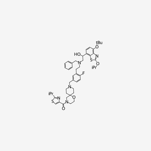 CC(C)Oc1nc2c(OC(C)(C)C)ccc(C(O)CN(CCc3cc(CN4CCC5(CC4)CN(C(=O)c4csc(C(C)C)n4)CCO5)ccc3F)Cc3ccccc3)c2s1